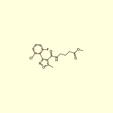 COC(=O)CCCNC(=O)c1c(-c2c(F)cccc2Cl)noc1C